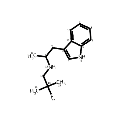 CC(Cc1c[nH]c2ccccc12)NCC(C)(C)F